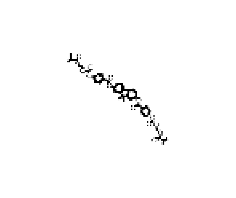 C=C(C)C(=O)OCOC(=O)Oc1ccc(C(=O)Oc2ccc3c(c2)C(C)(C)c2cc(OC(=O)c4ccc(OC(=O)OCOC(=O)C(=C)C)cc4)ccc2-3)cc1